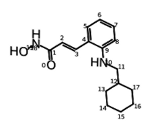 O=C(C=Cc1ccccc1NCC1CCCCC1)NO